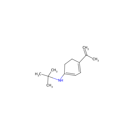 C=C(C)C1=CC=C(NC(C)(C)C)CC1